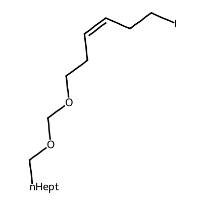 CCCCCCCCOCOCC/C=C\CCI